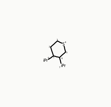 CC(C)C1CCSCC1C(C)C